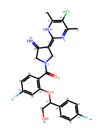 CC1=N/C(=C2\CN(C(=O)c3ccc(F)cc3OC(CO)c3ccc(F)cc3)CC2=N)NC(C)=C1Cl